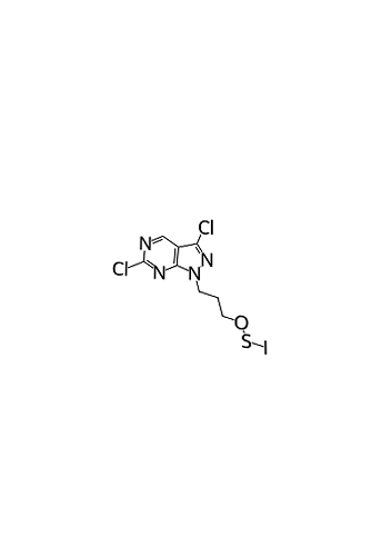 Clc1ncc2c(Cl)nn(CCCOSI)c2n1